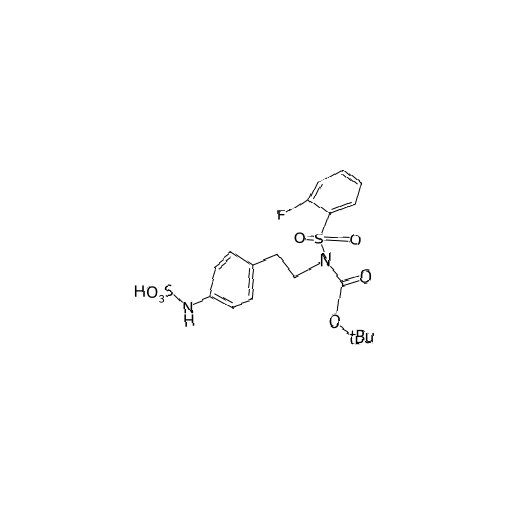 CC(C)(C)OC(=O)N(CCc1ccc(NS(=O)(=O)O)cc1)S(=O)(=O)c1ccccc1F